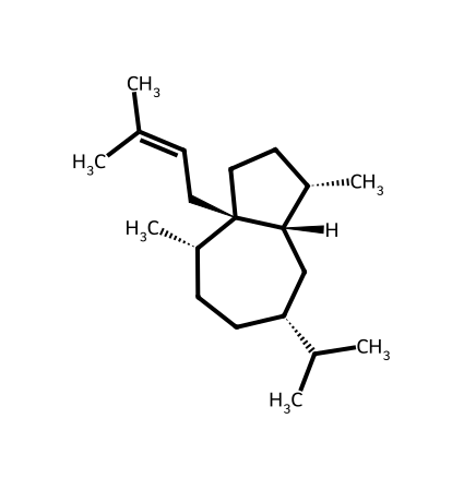 CC(C)=CC[C@@]12CC[C@H](C)[C@@H]1C[C@H](C(C)C)CC[C@@H]2C